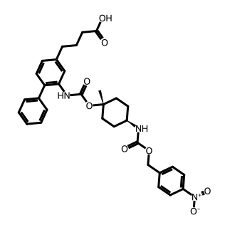 C[C@]1(OC(=O)Nc2cc(CCCC(=O)O)ccc2-c2ccccc2)CC[C@H](NC(=O)OCc2ccc([N+](=O)[O-])cc2)CC1